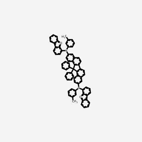 Cc1cccc(N(c2ccc3c4c(ccc3c2)-c2ccc3cc(N(c5cccc(C)c5)c5cccc6c5oc5ccccc56)ccc3c2C4(c2ccccc2)c2ccccc2)c2cccc3c2oc2ccccc23)c1